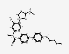 CCCCOc1ccc(-c2ccc(C(=O)N(C)c3ccc(N4CCC(NC)C4)c(F)c3)cc2)cc1